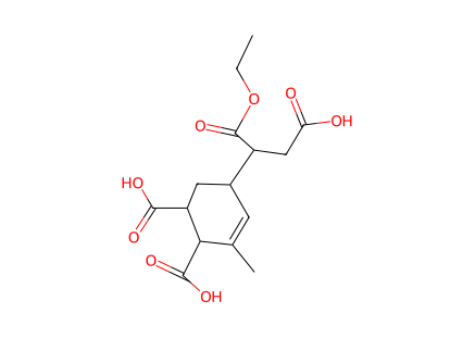 CCOC(=O)C(CC(=O)O)C1C=C(C)C(C(=O)O)C(C(=O)O)C1